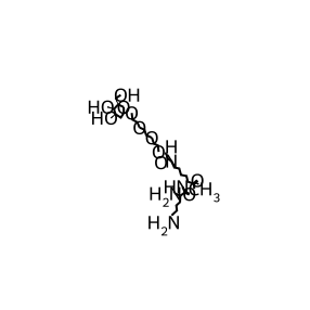 CC(=O)C(CCCCNC(=O)COCCOCCOCCO[C@H]1C[C@@H](O)[C@@H](O)[C@@H](CO)O1)NC(=O)C(N)CCCCN